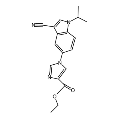 CCOC(=O)c1cn(-c2ccc3c(c2)c(C#N)cn3C(C)C)cn1